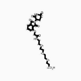 O=C(O)CCOCCOCCOCCNC(=O)COc1cccc2c1C(=O)N(C1CCC(=O)NC1=O)C2=O